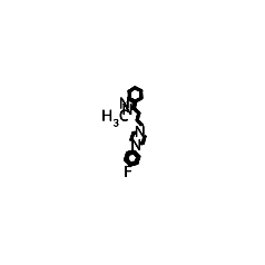 Cn1nc2c(c1CCCN1CCN(c3ccc(F)cc3)CC1)CCCC2